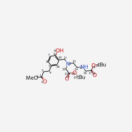 COC(=O)CCc1ccc(O)c(CN(CCNCC(=O)OC(C)(C)C)CC(=O)OC(C)(C)C)c1